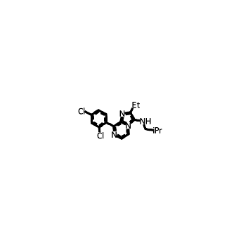 CCc1nc2c(-c3ccc(Cl)cc3Cl)nccn2c1NCC(C)C